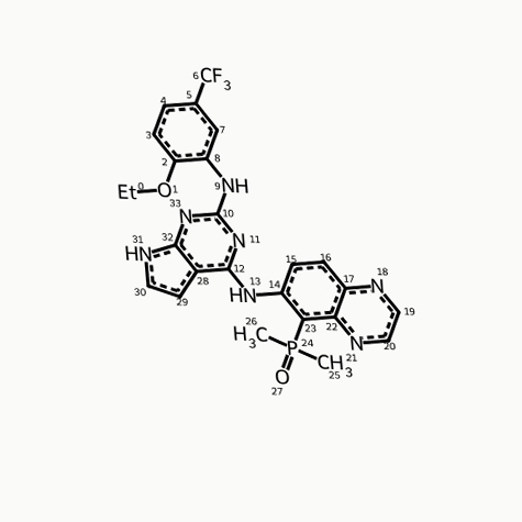 CCOc1ccc(C(F)(F)F)cc1Nc1nc(Nc2ccc3nccnc3c2P(C)(C)=O)c2cc[nH]c2n1